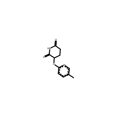 Cc1ccc(OC2CCC(=O)NC2=O)nc1